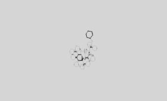 COC(=O)c1cn([C@H]2COC[C@H]2NC(=O)OCc2ccccc2)c(C(=O)OC)c(OC)c1=O